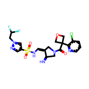 N=C1CN(C(=O)C2(c3ncccc3Cl)COC2)C/C1=C/NS(=O)(=O)c1cnn(CC(F)F)c1